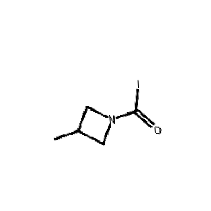 CC1CN(C(=O)I)C1